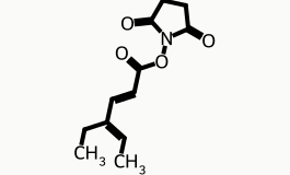 CC=C(C=CC(=O)ON1C(=O)CCC1=O)CC